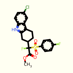 COC(=O)C(F)(C1CCc2c([nH]c3ccc(Cl)cc23)C1)S(=O)(=O)c1ccc(F)cc1